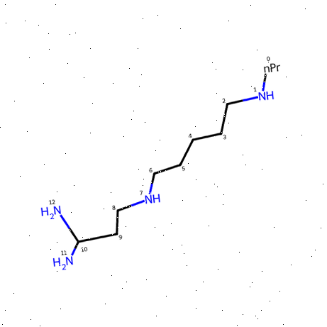 CCCNCCCCCNCCC(N)N